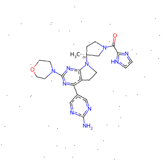 C[C@]1(N2CCc3c(-c4cnc(N)nc4)nc(N4CCOCC4)nc32)CCN(C(=O)c2ncc[nH]2)C1